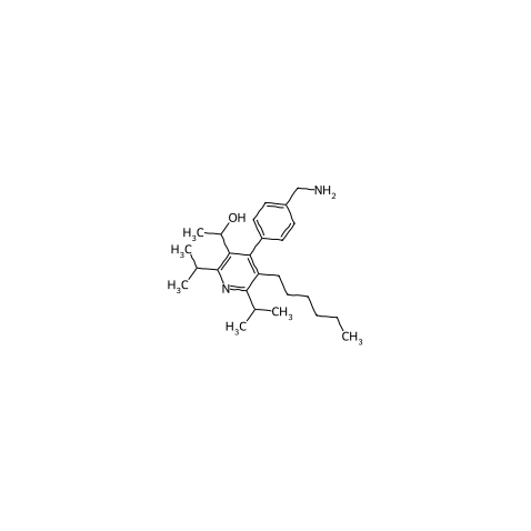 CCCCCCc1c(C(C)C)nc(C(C)C)c(C(C)O)c1-c1ccc(CN)cc1